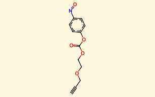 C#CCOCCOC(=O)Oc1ccc(N=O)cc1